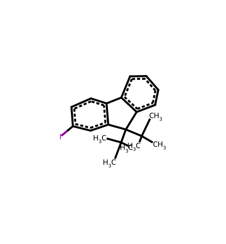 CC(C)(C)C1(C(C)(C)C)c2ccccc2-c2ccc(I)cc21